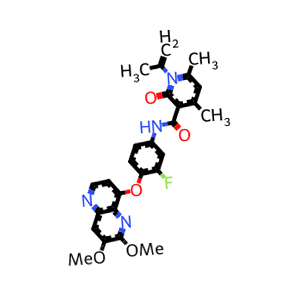 C=C(C)n1c(C)cc(C)c(C(=O)Nc2ccc(Oc3ccnc4cc(OC)c(OC)nc34)c(F)c2)c1=O